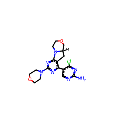 Nc1ncc(-c2nc(N3CCOCC3)nc3c2C[C@H]2COCCN32)c(Cl)n1